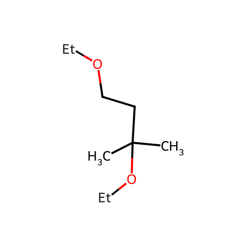 CCOCCC(C)(C)OCC